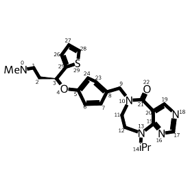 CNCC[C@H](Oc1ccc(CN2CCN(C(C)C)c3ncncc3C2=O)cc1)c1cccs1